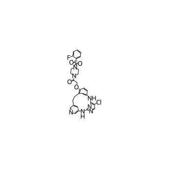 O=C(COc1ccc2cc1CCc1cncc(c1)Nc1ncc(Cl)c(n1)N2)N1CCN(S(=O)(=O)c2ccccc2F)CC1